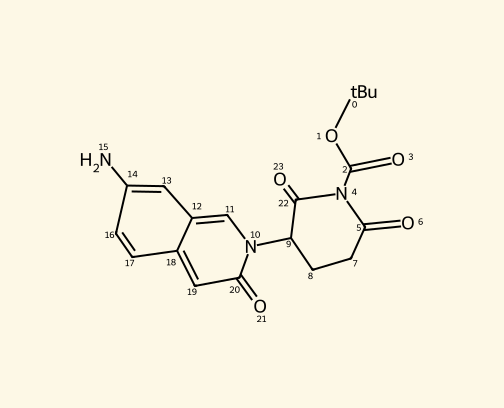 CC(C)(C)OC(=O)N1C(=O)CCC(n2cc3cc(N)ccc3cc2=O)C1=O